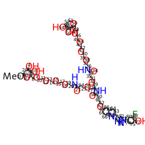 CO[C@@H]1C[C@@H](O)[C@@H](O)[C@@H](COCCOCCOCCOCCNC(=O)CCOCC(COCCC(=O)NCCOCCOCCOCCOC[C@H]2OCC[C@@H](O)[C@H]2O)NC(=O)CCCOc2ccc3nc(-c4cn(-c5ccc(O)c(F)c5)nn4)ccc3c2)O1